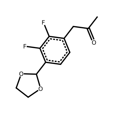 CC(=O)Cc1ccc(C2OCCO2)c(F)c1F